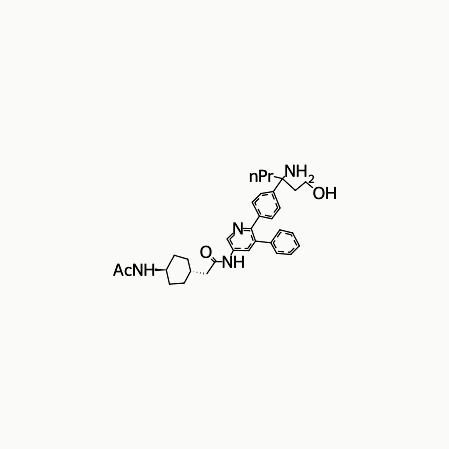 CCCC(N)(CCO)c1ccc(-c2ncc(NC(=O)C[C@H]3CC[C@H](NC(C)=O)CC3)cc2-c2ccccc2)cc1